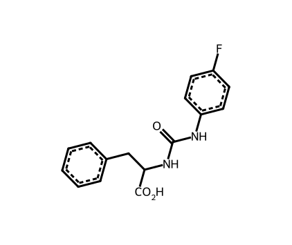 O=C(Nc1ccc(F)cc1)NC(Cc1ccccc1)C(=O)O